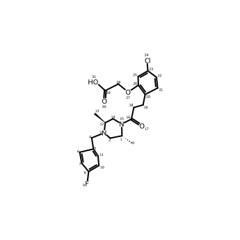 C[C@@H]1CN(Cc2ccc(F)cc2)[C@@H](C)CN1C(=O)CCc1ccc(Cl)cc1OCC(=O)O